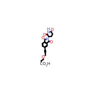 O=C(O)CCOCC#Cc1ccc2c(c1)C(=O)N(C1CCC(=O)NC1=O)C2=O